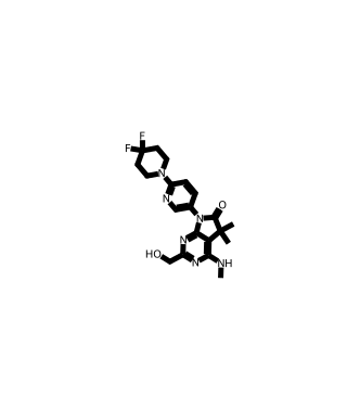 CNc1nc(CO)nc2c1C(C)(C)C(=O)N2c1ccc(N2CCC(F)(F)CC2)nc1